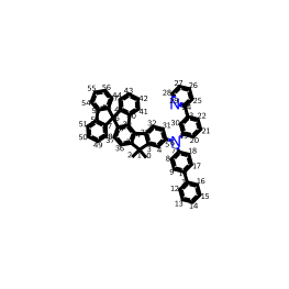 CC1(C)c2cc(N(c3ccc(-c4ccccc4)cc3)c3cccc(-c4ccccn4)c3)ccc2-c2c1ccc1c2-c2ccccc2C12c1ccccc1-c1ccccc12